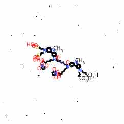 Cn1c2ccc(N(CCCSOOO)CCCSOOO)cc2c2cc3c(cc21)O\C(=C/C=C/C=C/c1oc2cc4c(cc2[n+]1CCCCCC(=O)ON1C(=O)CCC1=O)c1cc(N(CCCS(=O)(=O)O)CCCS(=O)(=O)O)ccc1n4C)N3CCCCCC(=O)ON1C(=O)CCC1=O